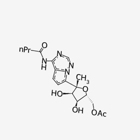 CCCC(=O)Nc1ncnn2c([C@]3(C)O[C@H](COC(C)=O)[C@@H](O)[C@H]3O)ccc12